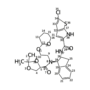 CC1(C)OC[C@H](C(=O)N(CCOC2CCCCO2)[C@@H]2c3ccccc3C[C@H]2NC(=O)c2cc3cc(Cl)sc3[nH]2)O1